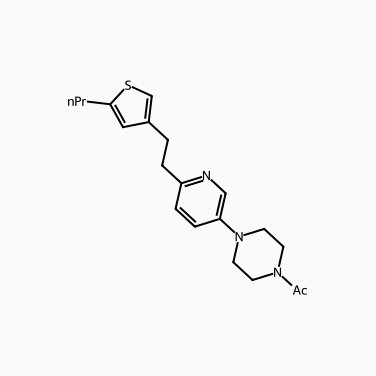 C[CH]Cc1cc(CCc2ccc(N3CCN(C(C)=O)CC3)cn2)cs1